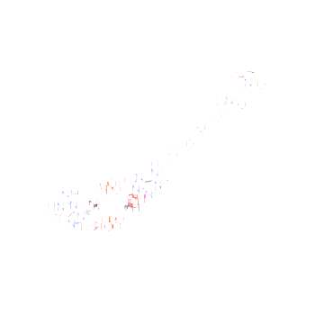 Nc1nc2c(ncn2[C@@H]2O[C@@H]3COP(=O)(O)OC4C(O)[C@@H](COP(=O)(O)OC3C2O)O[C@H]4n2cnc3c(NC(=O)CCOCCOCCOCCOCCNC(=O)CCN4C(=O)C=CC4=O)ncnc32)c(=O)[nH]1